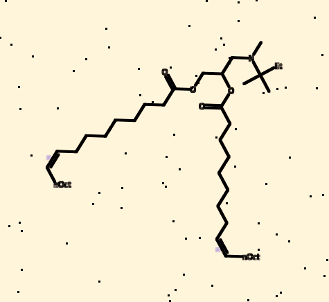 CCCCCCCC/C=C\CCCCCCCC(=O)OCC(CN(C)C(C)(C)CC)OC(=O)CCCCCCC/C=C\CCCCCCCC